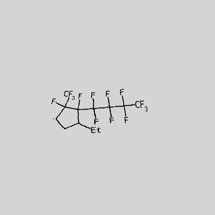 [CH2]CC1C[CH]C(F)(C(F)(F)F)C1(F)C(F)(F)C(F)(F)C(F)(F)C(F)(F)F